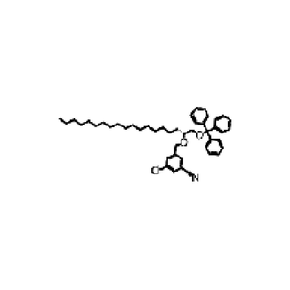 CCCCCCCCCCCCCCCCC[C@H](COC(c1ccccc1)(c1ccccc1)c1ccccc1)OCc1cc(Cl)cc(C#N)c1